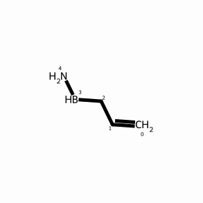 C=CCBN